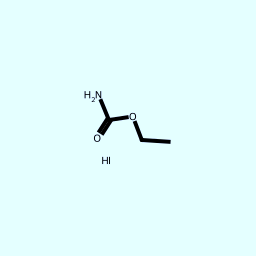 CCOC(N)=O.I